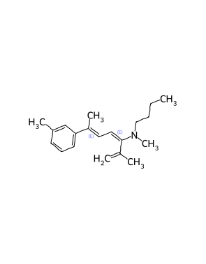 C=C(C)/C(=C\C=C(/C)c1cccc(C)c1)N(C)CCCC